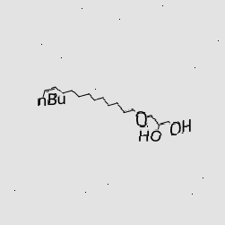 CCCC/C=C\CCCCCCCCCCOCC(O)CO